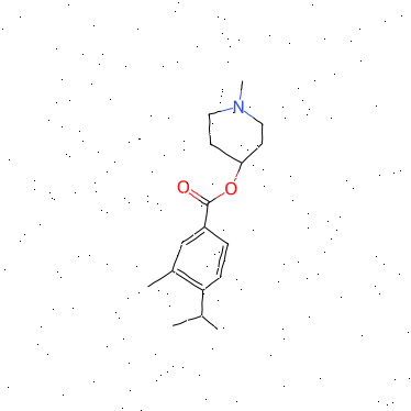 Cc1cc(C(=O)OC2CCN(C)CC2)ccc1C(C)C